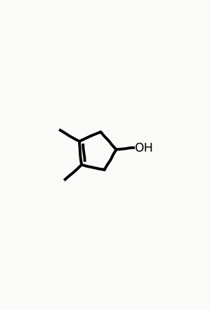 CC1=C(C)CC(O)C1